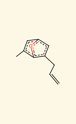 C=CCc1cc2cc(C)c1o2